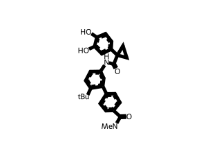 CNC(=O)c1ccc(-c2cc(NC(=O)C3(c4ccc(O)c(O)c4)CC3)ccc2C(C)(C)C)cc1